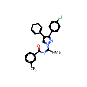 CNC(=NC(=O)c1cccc(C(F)(F)F)c1)n1cc(C2=CCCC=C2)c(-c2ccc(Cl)cc2)n1